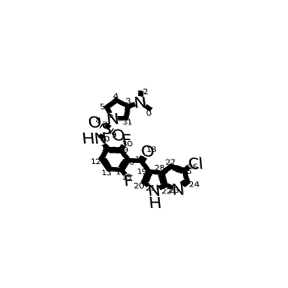 CN(C)C1CCN(S(=O)(=O)Nc2ccc(F)c(C(=O)c3c[nH]c4ncc(Cl)cc34)c2F)C1